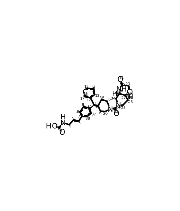 O=C(O)NC/C=C/c1ccc([C@@H](c2ccccc2)C2CCN(C(=O)N3CC[C@@H]4OCC(=O)N[C@@H]4C3)CC2)cc1